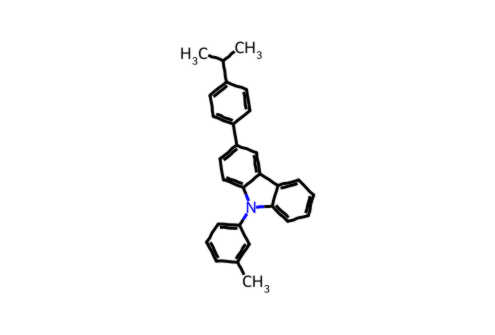 Cc1cccc(-n2c3ccccc3c3cc(-c4ccc(C(C)C)cc4)ccc32)c1